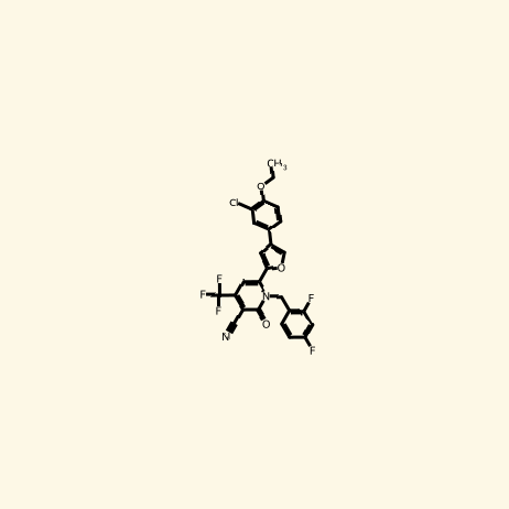 CCOc1ccc(-c2coc(-c3cc(C(F)(F)F)c(C#N)c(=O)n3Cc3ccc(F)cc3F)c2)cc1Cl